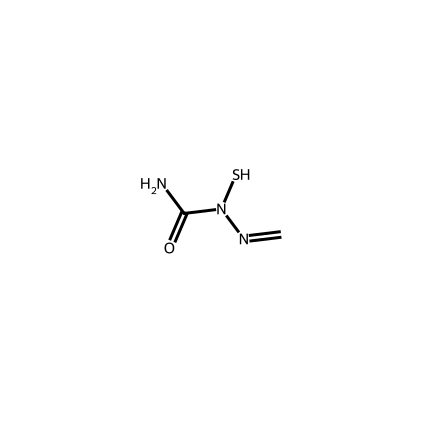 C=NN(S)C(N)=O